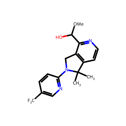 COC(O)c1nccc2c1CN(c1ccc(C(F)(F)F)cn1)C2(C)C